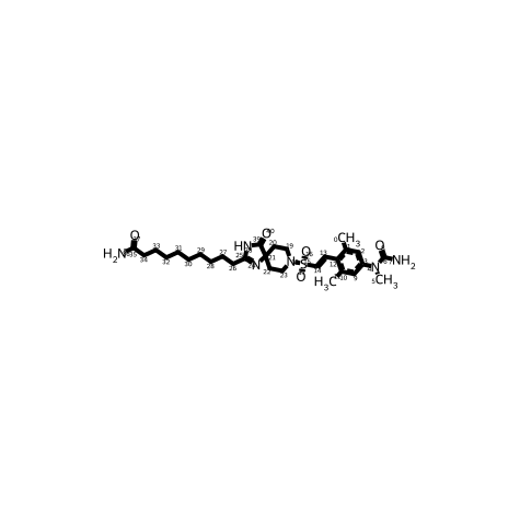 Cc1cc(N(C)C(N)=O)cc(C)c1C=CS(=O)(=O)N1CCC2(CC1)N=C(CCCCCCCCCC(N)=O)NC2=O